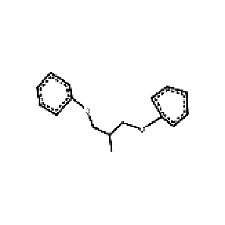 C[C](COc1ccccc1)COc1ccccc1